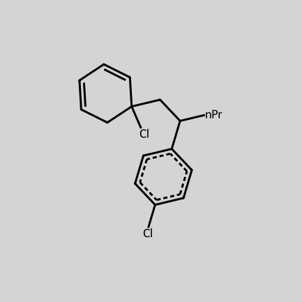 CCCC(CC1(Cl)C=CC=CC1)c1ccc(Cl)cc1